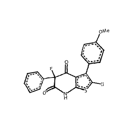 COc1ccc(-c2c(Cl)sc3c2C(=O)C(F)(c2ccccc2)C(=O)N3)cc1